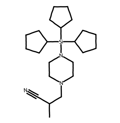 CC(C#N)CN1CCN([Si](C2CCCC2)(C2CCCC2)C2CCCC2)CC1